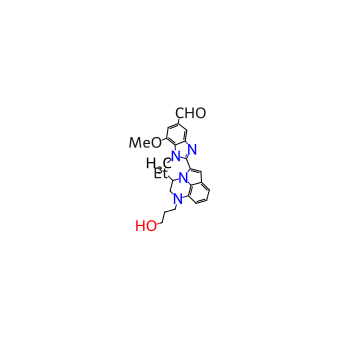 CCC1CN(CCCO)c2cccc3cc(-c4nc5cc(C=O)cc(OC)c5n4C)n1c23